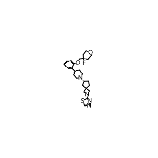 FC1(COc2ccccc2C2CCN([C@@H]3CCC4(C3)CN(c3nncs3)C4)CC2)CCOCC1